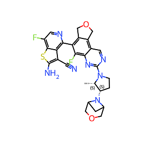 C[C@H]1[C@@H](N2C3COCC2C3)CCN1c1ncc2c3c(c(-c4ncc(F)c5sc(N)c(C#N)c45)c(F)c2n1)COC3